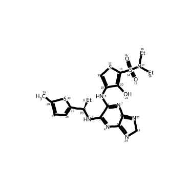 CC[C@@H](Nc1nc2c(nc1Nc1csc(S(=O)(=O)N(CC)CC)c1O)=NCN=2)c1ccc(C)s1